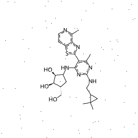 Cc1nc(NCC2CC2(C)C)nc(NC2C[C@H](CO)[C@@H](O)[C@H]2O)c1-c1nc2c(C)nccc2s1